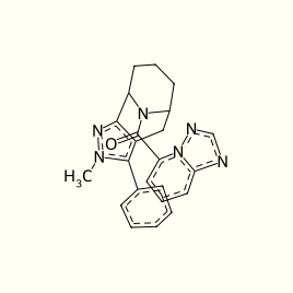 Cn1nc2c(c1-c1ccccc1)CC1CCCC2N1C(=O)c1cccc2ncnn12